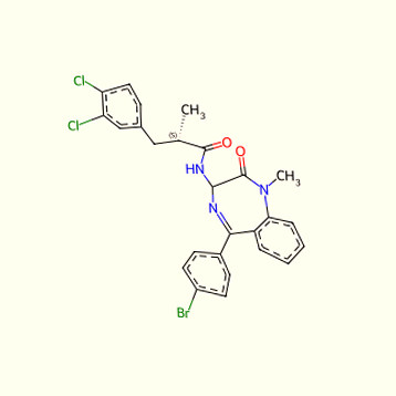 C[C@@H](Cc1ccc(Cl)c(Cl)c1)C(=O)NC1N=C(c2ccc(Br)cc2)c2ccccc2N(C)C1=O